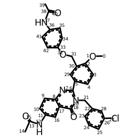 COc1ccc(-c2nc3ccc(NC(C)=O)cc3c(=O)n2Cc2cccc(Cl)c2)cc1COc1ccc(NC(C)=O)cc1